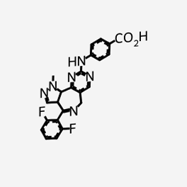 CN1N=CC2C(c3c(F)cccc3F)=NCc3cnc(Nc4ccc(C(=O)O)cc4)nc3C21